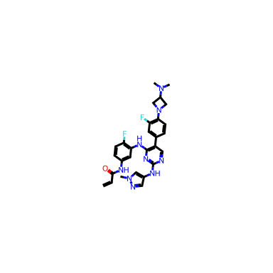 C=CC(=O)Nc1ccc(F)c(Nc2nc(Nc3cnn(C)c3)ncc2-c2ccc(N3CC(N(C)C)C3)c(F)c2)c1